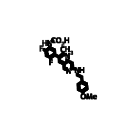 COc1ccc(CCNc2cc3nc(C)c(-c4cc(NC(=O)O)c(F)cc4F)cc3cn2)cc1